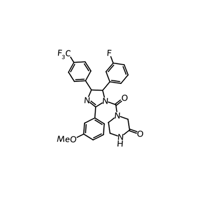 COc1cccc(C2=NC(c3ccc(C(F)(F)F)cc3)C(c3cccc(F)c3)N2C(=O)N2CCNC(=O)C2)c1